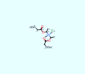 CCCCCCCCCCCC(=O)OC(C)[N+](C)(C)C(C)OC(=O)CCCCCCCCCCC.[Cl-]